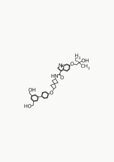 CC(C)(O)COc1ccc2c(C(=O)NC3CC4(C3)CC(Oc3ccc(-c5cc(CO)cc(CO)c5)cc3)C4)cnn2c1